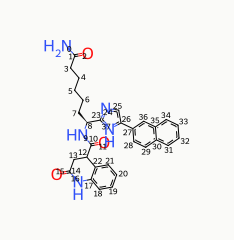 NC(=O)CCCCC[C@H](NC(=O)C1CC(=O)Nc2ccccc21)c1ncc(-c2ccc3ccccc3c2)[nH]1